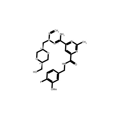 C=NN(C[C@@H]1CO[C@H](CO)CO1)/N=C(\N)c1cc(C(=O)NCc2ccc(F)c(OC)c2)nc(C)n1